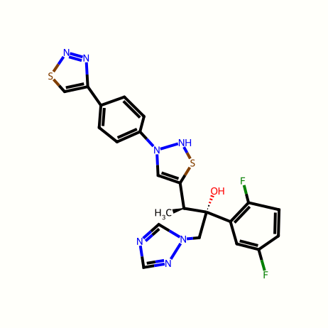 C[C@@H](C1=CN(c2ccc(-c3csnn3)cc2)NS1)[C@](O)(Cn1cncn1)c1cc(F)ccc1F